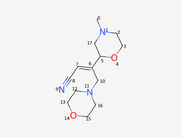 CN1CCOC(C(=CC#N)CN2CCOCC2)C1